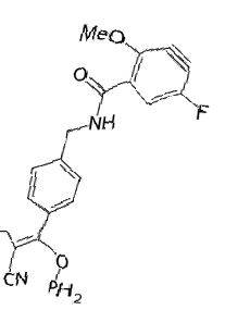 COc1c#cc(F)cc1C(=O)NCc1ccc(C(OP)=C(C#N)C#N)cc1